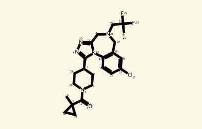 CC1(C(=O)N2CCC(c3nnc4n3-c3ccc(Cl)cc3CN(CC(F)(F)F)C4)CC2)CC1